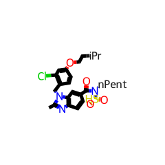 CCCCCN(C(=O)c1ccc2nc(C)n(Cc3ccc(OCCC(C)C)cc3Cl)c2c1)[SH](=O)=O